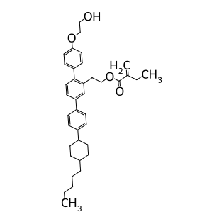 C=C(CC)C(=O)OCCc1cc(-c2ccc(C3CCC(CCCCC)CC3)cc2)ccc1-c1ccc(OCCO)cc1